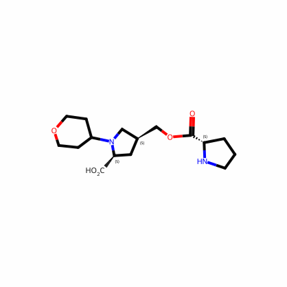 O=C(OC[C@H]1C[C@@H](C(=O)O)N(C2CCOCC2)C1)[C@@H]1CCCN1